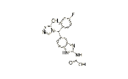 Cc1cncn1C(c1ccc(F)cc1)c1ccc2[nH]c(NC(=O)O)nc2c1